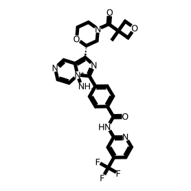 CC1(C(=O)N2CCO[C@@H](C3=C4C=NC=C[N+]4(N)C(c4ccc(C(=O)Nc5cc(C(F)(F)F)ccn5)cc4)=N3)C2)COC1